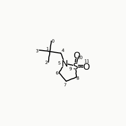 CC(C)(C)CN1CCCS1(=O)=O